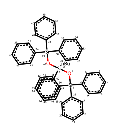 [CH2]CCC[Si](O[Si](c1ccccc1)(c1ccccc1)c1ccccc1)(O[Si](c1ccccc1)(c1ccccc1)c1ccccc1)c1ccccc1